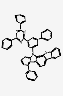 c1ccc(-c2cc(-c3nc(-c4ccccc4)nc(-c4ccccc4)n3)cc(-n3c4cccc(-c5ccccc5)c4c4ccc5c6ccccc6sc5c43)c2)cc1